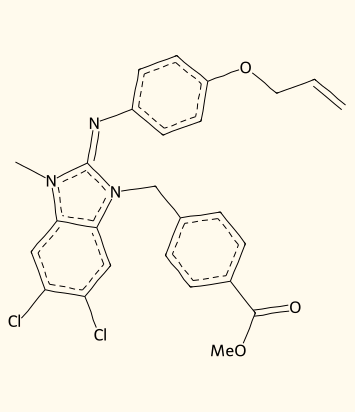 C=CCOc1ccc(N=c2n(C)c3cc(Cl)c(Cl)cc3n2Cc2ccc(C(=O)OC)cc2)cc1